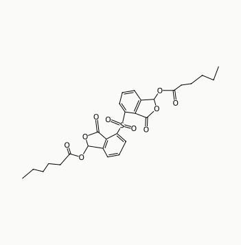 CCCCCC(=O)OC1OC(=O)c2c1cccc2S(=O)(=O)c1cccc2c1C(=O)OC2OC(=O)CCCCC